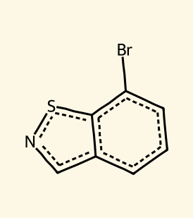 Brc1cccc2cnsc12